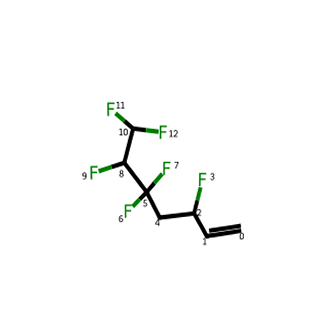 C=CC(F)CC(F)(F)C(F)C(F)F